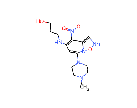 CN1CCN(C2=CC(NCCCO)=C([N+](=O)[O-])C3=CNON32)CC1